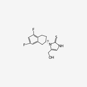 OCc1c[nH]c(=S)n1[C@H]1CCc2c(F)cc(F)cc2C1